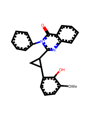 COc1cccc(C2CC2c2nc3ccccc3c(=O)n2-c2ccccc2)c1O